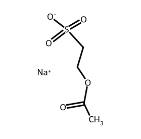 CC(=O)OCCS(=O)(=O)[O-].[Na+]